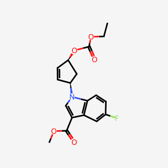 CCOC(=O)O[C@@H]1C=C[C@H](n2cc(C(=O)OC)c3cc(F)ccc32)C1